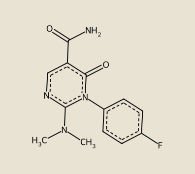 CN(C)c1ncc(C(N)=O)c(=O)n1-c1ccc(F)cc1